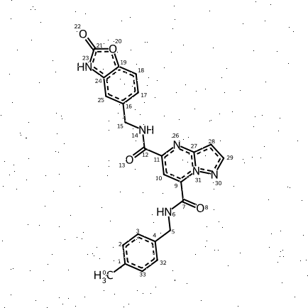 Cc1ccc(CNC(=O)c2cc(C(=O)NCc3ccc4oc(=O)[nH]c4c3)nc3ccnn23)cc1